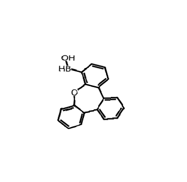 OBc1cccc2c1Oc1ccccc1-c1ccccc1-2